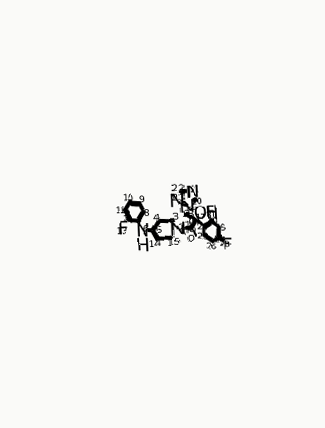 C[C@@H](N1CCC(Nc2ccccc2F)CC1)[C@](O)(Cn1cncn1)c1ccc(F)cc1F